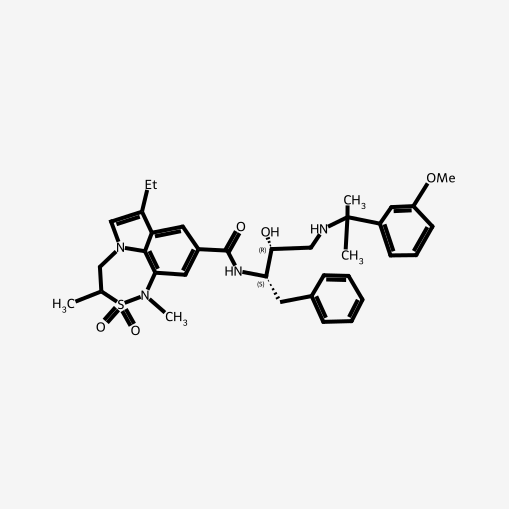 CCc1cn2c3c(cc(C(=O)N[C@@H](Cc4ccccc4)[C@H](O)CNC(C)(C)c4cccc(OC)c4)cc13)N(C)S(=O)(=O)C(C)C2